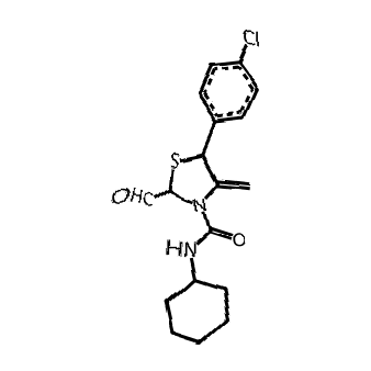 C=C1C(c2ccc(Cl)cc2)SC(C=O)N1C(=O)NC1CCCCC1